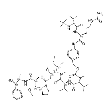 CC[C@H](C)[C@@H]([C@@H](CC(=O)N1CCC[C@H]1[C@H](OC)[C@H](C)C(=O)N[C@@H](C)[C@H](O)c1ccccc1)OC)N(C)C(=O)[C@@H](NC(=O)C(C(C)C)N(C)C(=O)OCc1ccc(NC(=O)[C@H](CCCNC(N)=O)NC(=O)C(NC(C)(C)C)C(C)C)cc1)C(C)C